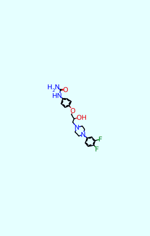 NC(=O)Nc1ccc(OCC(O)CN2CCN(c3ccc(F)c(F)c3)CC2)cc1